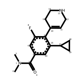 CN(C)C(=O)c1cc(F)c(C2=CCNCC2)c(C2CC2)c1